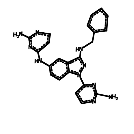 Nc1nccc(Nc2ccc3c(c2)c(NCc2ccccc2)nn3-c2ccnc(N)n2)n1